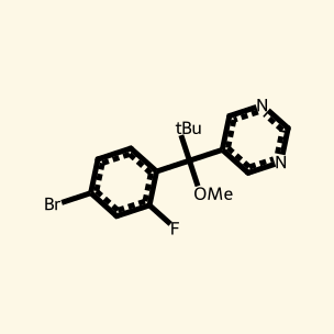 COC(c1cncnc1)(c1ccc(Br)cc1F)C(C)(C)C